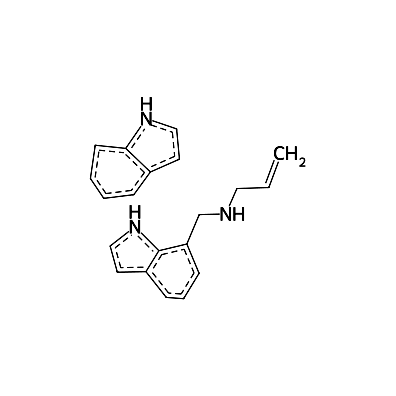 C=CCNCc1cccc2cc[nH]c12.c1ccc2[nH]ccc2c1